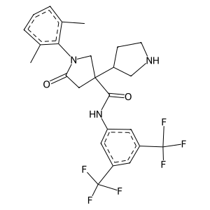 Cc1cccc(C)c1N1CC(C(=O)Nc2cc(C(F)(F)F)cc(C(F)(F)F)c2)(C2CCNC2)CC1=O